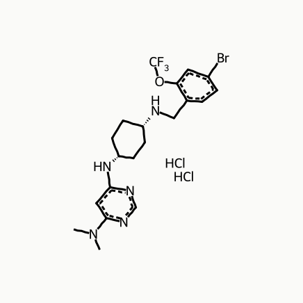 CN(C)c1cc(N[C@H]2CC[C@@H](NCc3ccc(Br)cc3OC(F)(F)F)CC2)ncn1.Cl.Cl